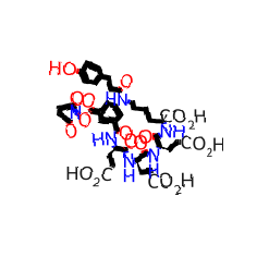 O=C(O)CC[C@@H](NC(=O)c1cccc(C(=O)ON2C(=O)CCC2=O)c1)C(=O)N[C@H](CCC(=O)O)C(=O)N[C@H](CCC(=O)O)C(=O)N[C@H](CCCCNC(=O)CCc1ccc(O)cc1)C(=O)O